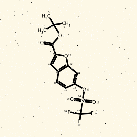 CC(C)(C)OC(=O)c1cc2ccc(OS(=O)(=O)C(F)(F)F)cc2o1